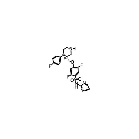 O=S(=O)(Nc1ncccn1)c1cc(F)c(OC[C@H]2CNCC[C@@H]2c2ccc(F)cc2)cc1F